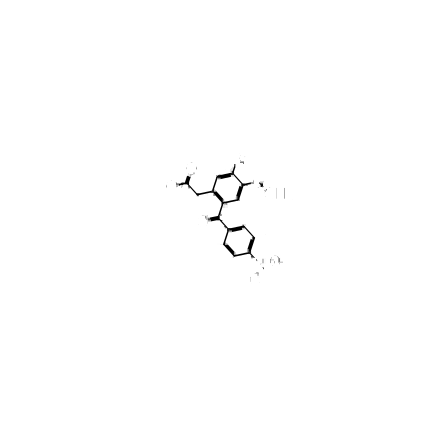 COc1cc(C(=O)c2ccc([N+](=O)[O-])cc2)c(CC(=O)O)cc1Br